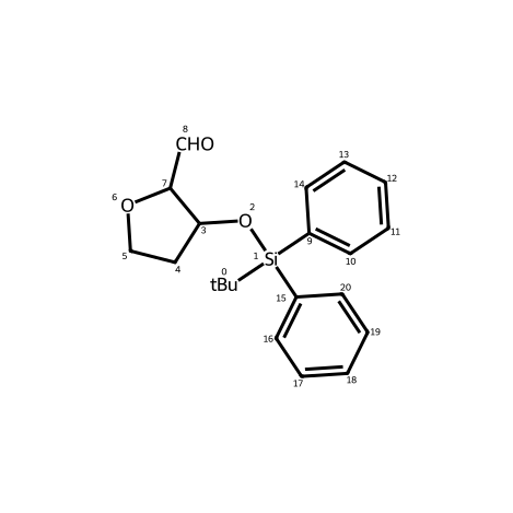 CC(C)(C)[Si](OC1CCOC1C=O)(c1ccccc1)c1ccccc1